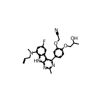 C=CCN(C)c1cc(F)cc2c1[nH]c1nc(C)nc(-c3ccc(OCC(C)O)c(OCC#N)c3)c12